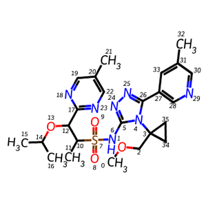 COCC1(n2c(NS(=O)(=O)C(C)C(OC(C)C)c3ncc(C)cn3)nnc2-c2cncc(C)c2)CC1